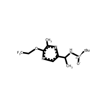 Cc1nc(C(C)N[S@+]([O-])C(C)(C)C)cnc1OCC(F)(F)F